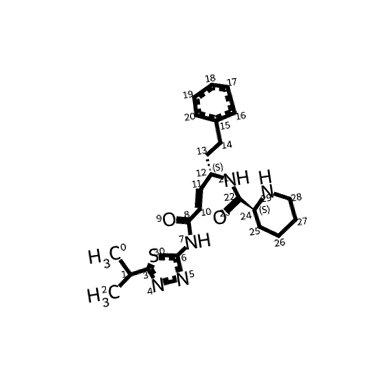 CC(C)c1nnc(NC(=O)C=C[C@H](CCc2ccccc2)NC(=O)[C@@H]2CCCCN2)s1